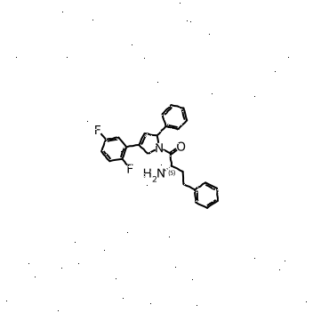 N[C@@H](CCc1ccccc1)C(=O)N1CC(c2cc(F)ccc2F)=CC1c1ccccc1